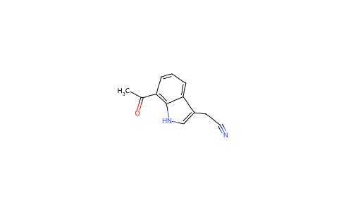 CC(=O)c1cccc2c(CC#N)c[nH]c12